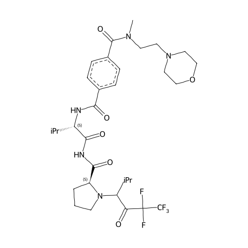 CC(C)C(C(=O)C(F)(F)C(F)(F)F)N1CCC[C@H]1C(=O)NC(=O)[C@@H](NC(=O)c1ccc(C(=O)N(C)CCN2CCOCC2)cc1)C(C)C